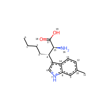 CCCC[C@@H](c1c[nH]c2cc(C)ccc12)[C@H](N)C(=O)O